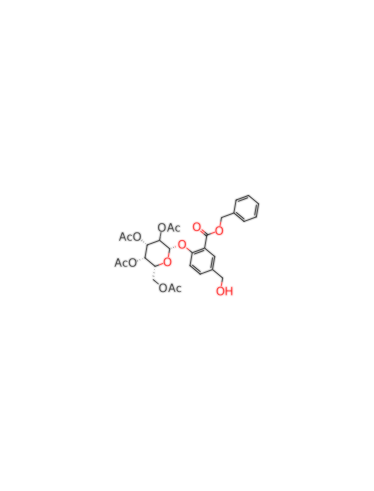 CC(=O)OC[C@H]1O[C@@H](Oc2ccc(CO)cc2C(=O)OCc2ccccc2)C(OC(C)=O)[C@@H](OC(C)=O)[C@H]1OC(C)=O